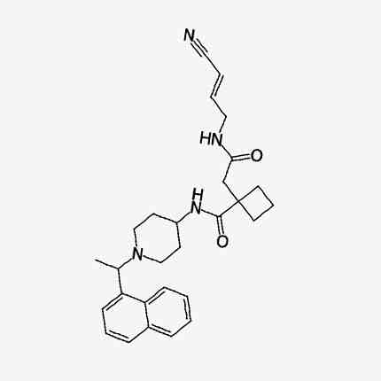 CC(c1cccc2ccccc12)N1CCC(NC(=O)C2(CC(=O)NCC=CC#N)CCC2)CC1